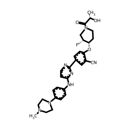 C[C@H](O)C(=O)N1CC[C@H](Oc2ccc(-c3nccc(Nc4ccc(N5CCN(C)CC5)cc4)n3)cc2C#N)[C@H](F)C1